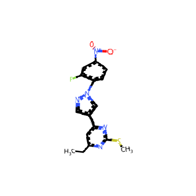 CCc1cc(-c2cnn(-c3ccc([N+](=O)[O-])cc3F)c2)nc(SC)n1